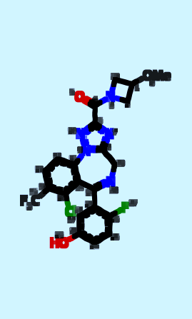 COC1CN(C(=O)c2nc3n(n2)-c2ccc(C(F)(F)F)c(Cl)c2C(c2cc(O)ccc2F)=NC3)C1